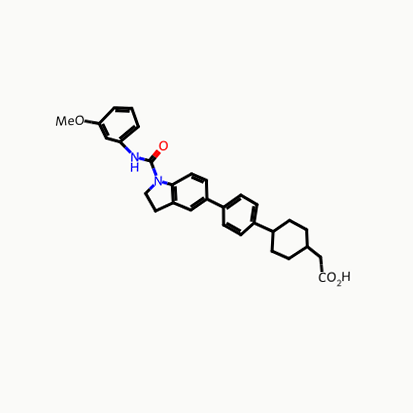 COc1cccc(NC(=O)N2CCc3cc(-c4ccc(C5CCC(CC(=O)O)CC5)cc4)ccc32)c1